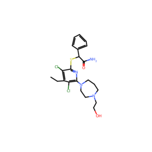 CCc1c(Cl)c(SC(C(N)=O)c2ccccc2)nc(N2CCCN(CCO)CC2)c1Cl